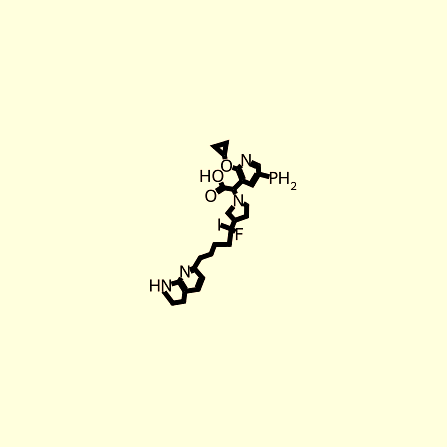 O=C(O)C(c1cc(P)cnc1OC1CC1)N1CCC(C(F)(I)CCCCc2ccc3c(n2)NCCC3)C1